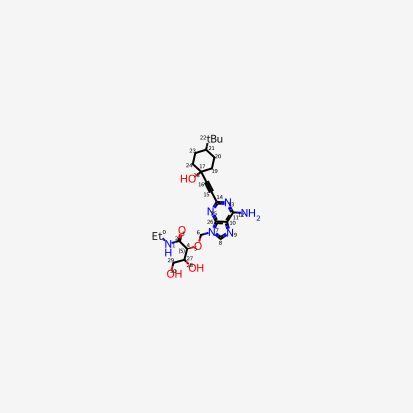 CCNC(=O)[C@@H](OCn1cnc2c(N)nc(C#CC3(O)CCC(C(C)(C)C)CC3)nc21)C(O)CO